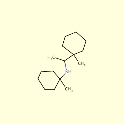 CC(NC1(C)CCCCC1)C1(C)CCCCC1